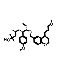 CC[C@H](OCc1ccc2c(c1)C(CCCOC)CCO2)[C@H](C[C@H](C)CC(C)(C)O)c1ccc(OC)cc1